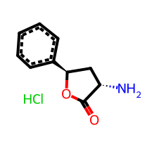 Cl.N[C@H]1C[C@H](c2ccccc2)OC1=O